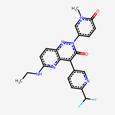 CCNc1ccc2nn(-c3ccc(=O)n(C)c3)c(=O)c(-c3ccc(C(F)F)nc3)c2n1